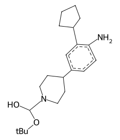 CC(C)(C)OC(O)N1CCC(c2ccc(N)c(C3CCCC3)c2)CC1